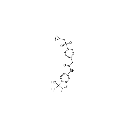 O=C(Cc1ccc(S(=O)(=O)CC2CC2)cc1)Nc1ccc(C(O)(C(F)F)C(F)(F)F)cc1